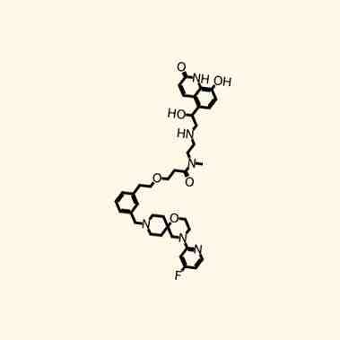 CN(CCNCC(O)c1ccc(O)c2[nH]c(=O)ccc12)C(=O)CCOCCc1cccc(CN2CCC3(CC2)CN(c2cc(F)ccn2)CCO3)c1